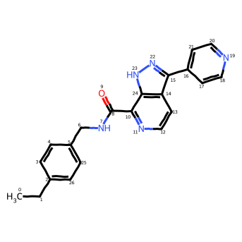 CCc1ccc(CNC(=O)c2nccc3c(-c4ccncc4)n[nH]c23)cc1